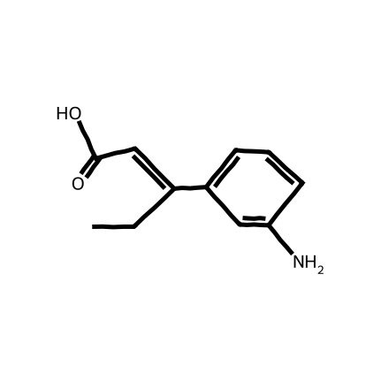 CC/C(=C\C(=O)O)c1cccc(N)c1